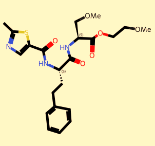 COCCOC(=O)[C@H](COC)NC(=O)[C@H](CCc1ccccc1)NC(=O)c1cnc(C)s1